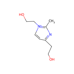 Cc1nc(CCO)cc[n+]1CCO